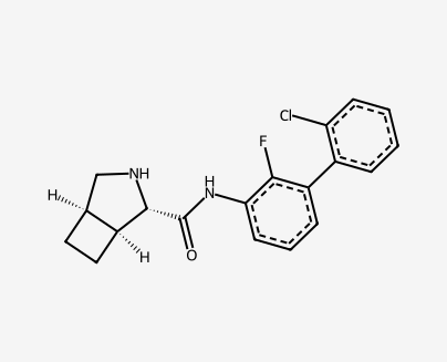 O=C(Nc1cccc(-c2ccccc2Cl)c1F)[C@H]1NC[C@@H]2CC[C@@H]21